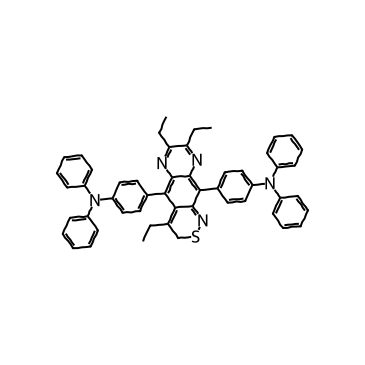 CCC1=c2c(-c3ccc(N(c4ccccc4)c4ccccc4)cc3)c3nc(CC)c(CC)nc3c(-c3ccc(N(c4ccccc4)c4ccccc4)cc3)c2=NSC1